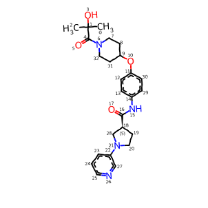 CC(C)(O)C(=O)N1CCC(Oc2ccc(NC(=O)[C@H]3CCN(c4cccnc4)C3)cc2)CC1